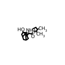 CC1CCN(C(=O)[C@@H](N)C23CC4CC(CC(O)(C4)C2)C3)[C@H]1C